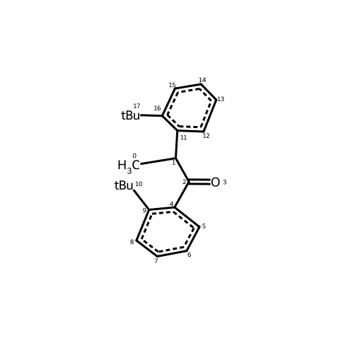 CC(C(=O)c1ccccc1C(C)(C)C)c1ccccc1C(C)(C)C